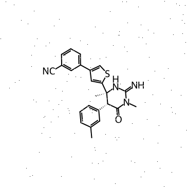 Cc1cccc([C@H]2C(=O)N(C)C(=N)N[C@]2(C)c2cc(-c3cccc(C#N)c3)cs2)c1